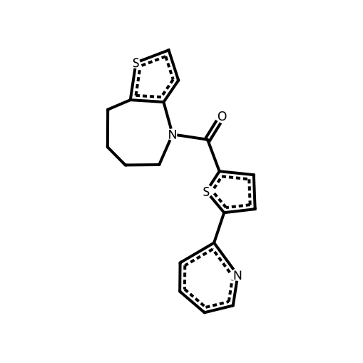 O=C(c1ccc(-c2ccccn2)s1)N1CCCCc2sccc21